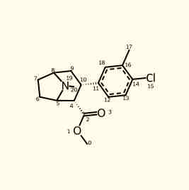 COC(=O)[C@@H]1C2CCC(C[C@@H]1c1ccc(Cl)c(C)c1)N2C